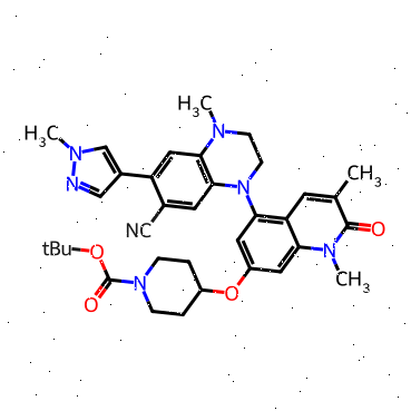 Cc1cc2c(N3CCN(C)c4cc(-c5cnn(C)c5)c(C#N)cc43)cc(OC3CCN(C(=O)OC(C)(C)C)CC3)cc2n(C)c1=O